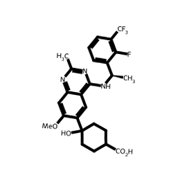 COc1cc2nc(C)nc(N[C@H](C)c3cccc(C(F)(F)F)c3F)c2cc1C1(O)CCC(C(=O)O)CC1